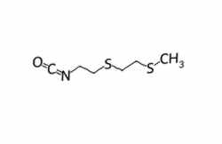 CSCCSCCN=C=O